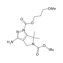 COCCCOC(=O)n1nc(N)c2c1C(C)(C)N(C(=O)OC(C)(C)C)C2